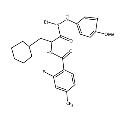 CCN(Nc1ccc(OC)cc1)C(=O)C(CC1CCCCC1)NC(=O)c1ccc(C(F)(F)F)cc1F